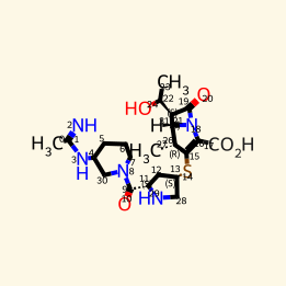 CC(=N)NC1CCCN(C(=O)[C@@H]2C[C@H](SC3=C(C(=O)O)N4C(=O)[C@H](C(C)O)[C@H]4[C@H]3C)CN2)C1